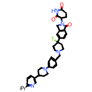 CC(C)c1ccc(C2CCN(c3ccc(CN4CCC(F)(c5ccc6c(c5)CN(C5CCC(=O)NC5=O)C6=O)CC4)cc3)CC2)cn1